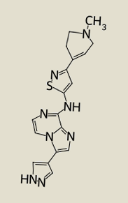 CN1CC=C(c2cc(Nc3nccn4c(-c5cn[nH]c5)cnc34)sn2)CC1